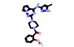 Cc1cc(Nc2nc(N3CCN(C(=O)c4ccccc4OC(F)(F)F)CC3)nn3cccc23)n[nH]1